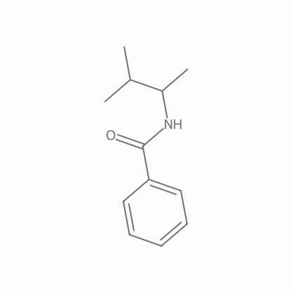 CC(C)C(C)NC(=O)c1ccccc1